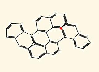 c1ccc2c(-c3ccc4ccccc4c3-c3c(-c4cccc5ccccc45)ccc4ccccc34)cccc2c1